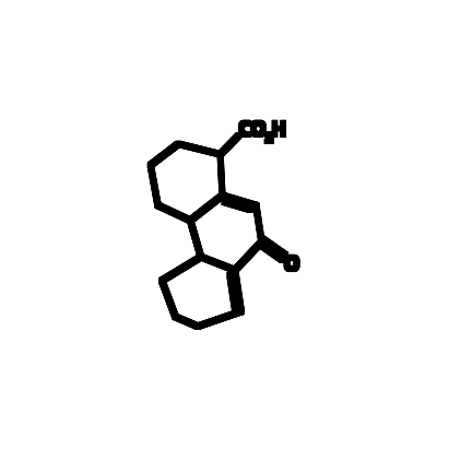 O=C1C=C2C(C(=O)O)CCCC2C2CCCC=C12